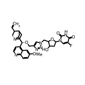 C=CC1C[N@@]2CCC1CC2[C@H](OCc1cn(CC2OC(n3cc(F)c(=O)[nH]c3=O)CC2O)nn1)c1ccnc2ccc(OC)cc12